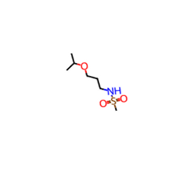 CC(C)OCCCNS(C)(=O)=O